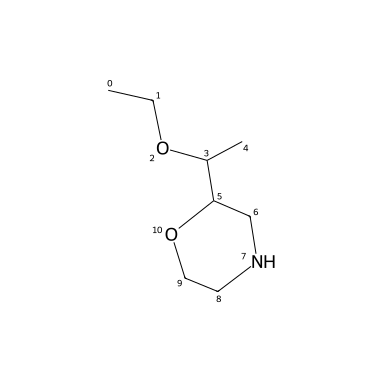 CCOC(C)C1CNCCO1